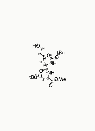 COC(=O)[C@H](COC(C)(C)C)NC(=O)[C@H](CSCCO)NC(=O)OC(C)(C)C